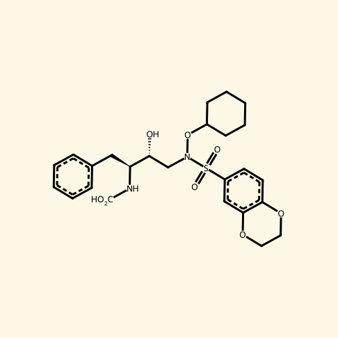 O=C(O)N[C@@H](Cc1ccccc1)[C@H](O)CN(OC1CCCCC1)S(=O)(=O)c1ccc2c(c1)OCCO2